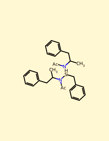 CC(=O)N(C(C)Cc1ccccc1)[SiH](Cc1ccccc1)N(C(C)=O)C(C)Cc1ccccc1